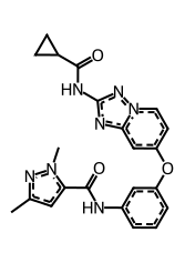 Cc1cc(C(=O)Nc2cccc(Oc3ccn4nc(NC(=O)C5CC5)nc4c3)c2)n(C)n1